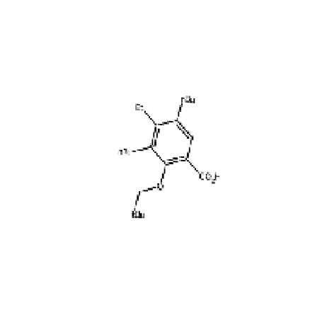 CCCCc1cc(C(=O)O)c(OCC(C)(C)C)c(CCCC)c1CC